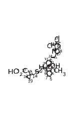 CC(C)(O)c1ccccc1[C@H](CCSCC1(CC(=O)O)CC1)c1ccc(C=Cc2ccc3sc(Cl)c(Cl)c3n2)cc1